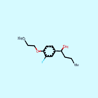 COCCOc1ccc(C(O)CCC(C)(C)C)cc1F